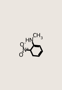 CNC1=CC=CCC1[N+](=O)[O-]